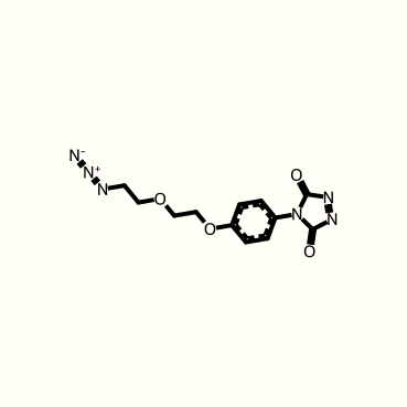 [N-]=[N+]=NCCOCCOc1ccc(N2C(=O)N=NC2=O)cc1